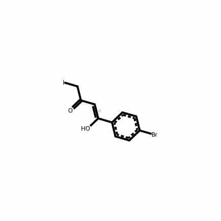 O=C(/C=C(\O)c1ccc(Br)cc1)CI